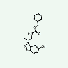 CC(CNC(=O)OCc1ccccc1)n1ncc2ccc(O)cc21